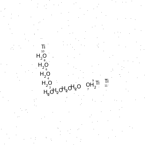 O.O.O.O.O.O.O.O.O.[Ti].[Ti].[Ti]